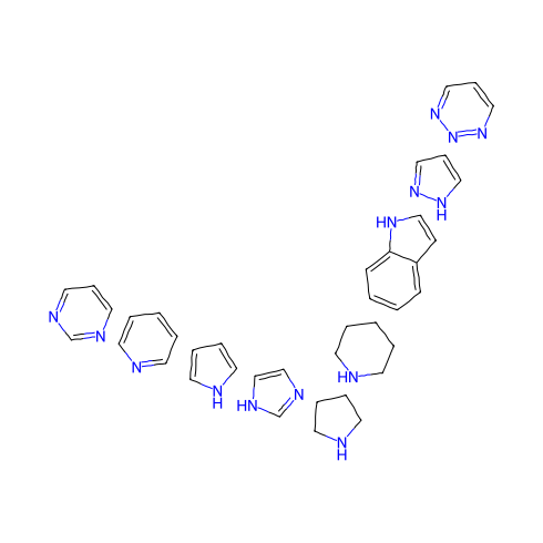 C1CCNC1.C1CCNCC1.c1c[nH]cn1.c1cc[nH]c1.c1ccc2[nH]ccc2c1.c1ccncc1.c1cn[nH]c1.c1cncnc1.c1cnnnc1